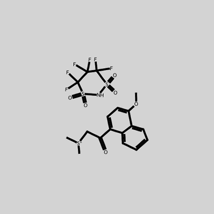 COc1ccc(C(=O)C[S+](C)C)c2ccccc12.O=S1(=O)NS(=O)(=O)C(F)(F)C(F)(F)C1(F)F